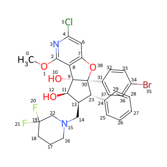 COc1nc(Cl)cc2c1[C@]1(O)[C@H](O)[C@H](CN3CCCC(F)(F)C3)[C@@H](c3ccccc3)[C@]1(c1ccc(Br)cc1)O2